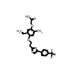 C=Cc1cc(OCC(=O)O)c(C)cc1OCCc1nc(-c2ccc(C(F)(F)F)cc2)cs1